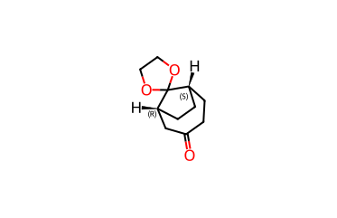 O=C1CC[C@@H]2CC[C@H](C1)C21OCCO1